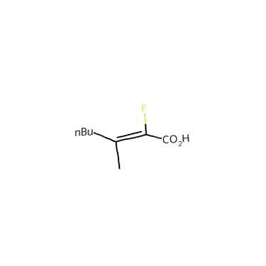 CCCCC(C)=C(F)C(=O)O